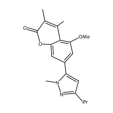 COc1cc(-c2cc(C(C)C)nn2C)cc2oc(=O)c(C)c(C)c12